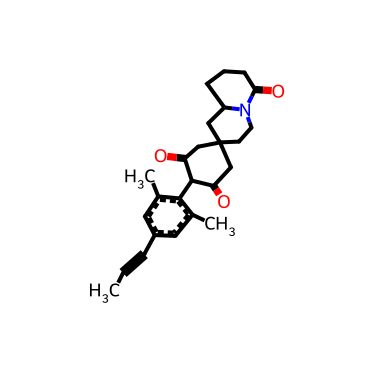 CC#Cc1cc(C)c(C2C(=O)CC3(CCN4C(=O)CCCC4C3)CC2=O)c(C)c1